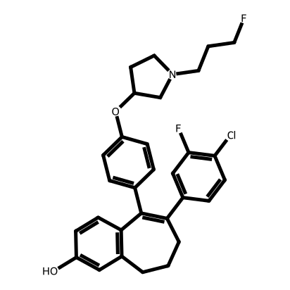 Oc1ccc2c(c1)CCCC(c1ccc(Cl)c(F)c1)=C2c1ccc(OC2CCN(CCCF)C2)cc1